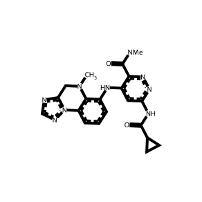 CNC(=O)c1nnc(NC(=O)C2CC2)cc1Nc1cccc2c1N(C)Cc1ncnn1-2